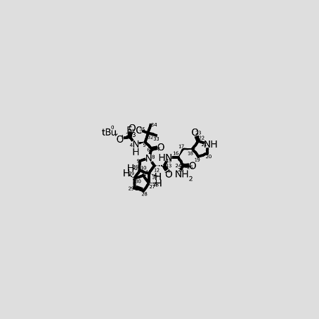 CC(C)(C)OC(=O)N[C@H](C(=O)N1C[C@H]2[C@@H]([C@H]1C(=O)N[C@@H](C[C@@H]1CCNC1=O)C(N)=O)[C@H]1C=C[C@@H]2C1)C(C)(C)C(F)(F)F